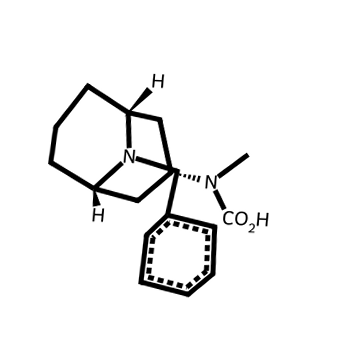 CN(C(=O)O)[C@H]1C[C@H]2CCC[C@@H](C1)N2Cc1ccccc1